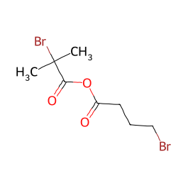 CC(C)(Br)C(=O)OC(=O)CCCBr